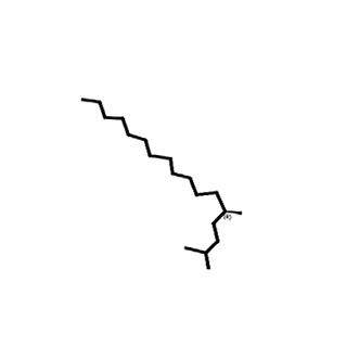 CCCCCCCCCCCC[C@@H](C)CCC(C)C